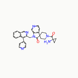 NC1(C(=O)N2CCC3(CC2)C(=O)N(Cc2ncc4ccccc4c2-c2ccncc2)c2cnccc23)CC1